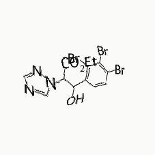 CCOC(=O)C(C(O)c1ccc(Br)c(Br)c1Br)n1cncn1